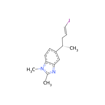 Cc1nc2cc([C@@H](C)C/C=C/I)ccc2n1C